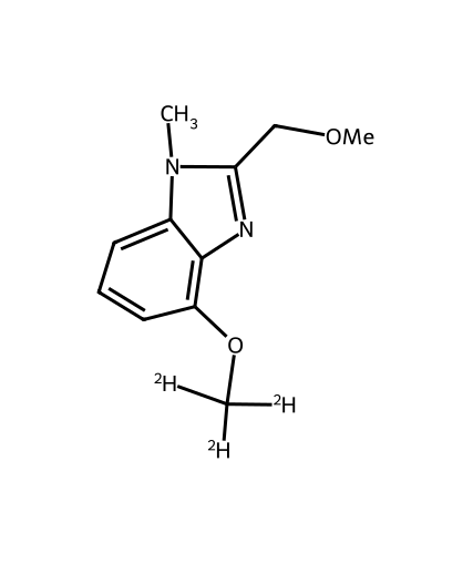 [2H]C([2H])([2H])Oc1cccc2c1nc(COC)n2C